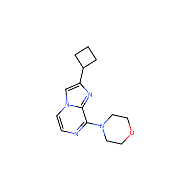 c1cn2cc(C3CCC3)nc2c(N2CCOCC2)n1